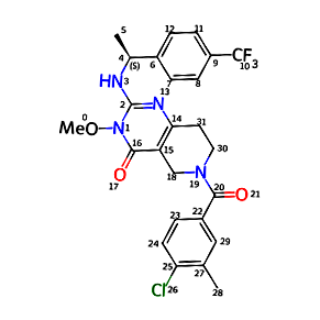 COn1c(N[C@@H](C)c2ccc(C(F)(F)F)cc2)nc2c(c1=O)CN(C(=O)c1ccc(Cl)c(C)c1)CC2